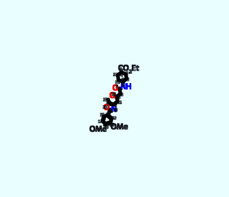 CCOC(=O)C1CCC(NC(=O)CC(=O)Cc2nc(-c3ccc(OC)c(OC)c3)oc2C)CC1